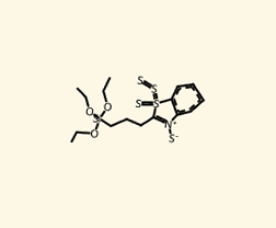 CCO[Si](CCCC1=[N+]([S-])c2ccccc2S1(=S)=S=S)(OCC)OCC